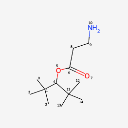 CC(C)(C)C(OC(=O)CCN)C(C)(C)C